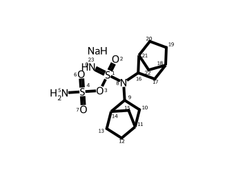 N=S(=O)(OS(N)(=O)=O)N(C1CC2CCC1C2)C1CC2CCC1C2.[NaH]